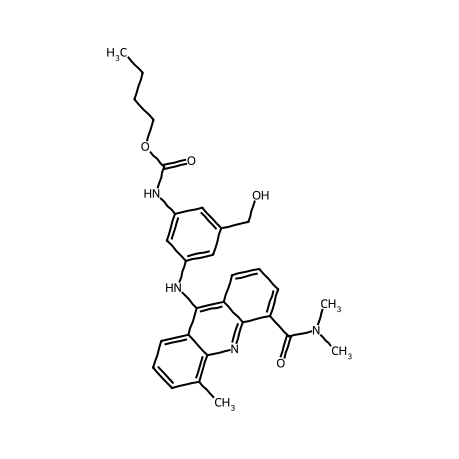 CCCCOC(=O)Nc1cc(CO)cc(Nc2c3cccc(C)c3nc3c(C(=O)N(C)C)cccc23)c1